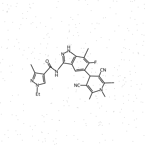 CCn1cc(C(=O)Nc2n[nH]c3c(C)c(F)c(C4C(C#N)=C(C)N(C)C(C)=C4C#N)cc23)c(C)n1